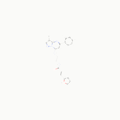 Cc1cnn2c(NCCNC(=O)/C=C/c3ccco3)cc(-c3ccccc3Cl)nc12